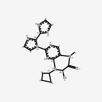 CC[C@@H]1C(=O)N(C)c2cnc(-n3ccnc3-c3nccs3)nc2N1C1CCC1